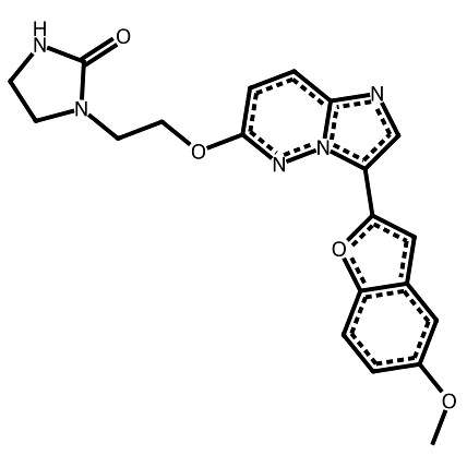 COc1ccc2oc(-c3cnc4ccc(OCCN5CCNC5=O)nn34)cc2c1